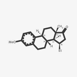 CC[C@@H]1CC(=O)[C@@]2(C)CC[C@@H]3c4ccc(OC)cc4CC[C@H]3[C@H]12